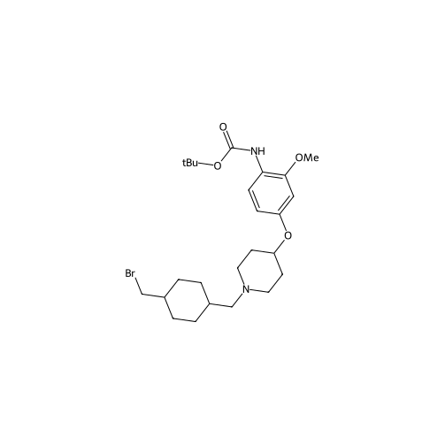 COc1cc(OC2CCN(CC3CCC(CBr)CC3)CC2)ccc1NC(=O)OC(C)(C)C